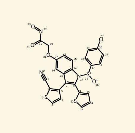 N#Cc1sccc1-c1c(-c2cccs2)n([S+]([O-])c2ccc(Cl)cc2)c2ccc(OCC(=O)N=O)cc12